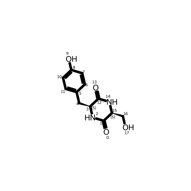 O=C1N[C@@H](Cc2ccc(O)cc2)C(=O)N[C@H]1CO